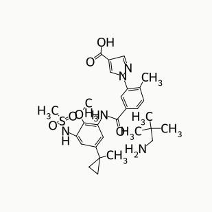 CC(C)(C)CN.COc1c(NC(=O)c2ccc(C)c(-n3cc(C(=O)O)cn3)c2)cc(C2(C)CC2)cc1NS(C)(=O)=O